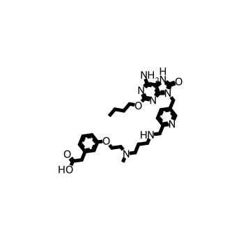 CCCCOc1nc(N)c2[nH]c(=O)n(Cc3ccc(CNCCCN(C)CCOc4cccc(CC(=O)O)c4)nc3)c2n1